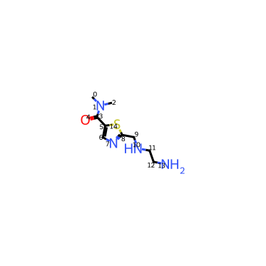 CN(C)C(=O)c1cnc(CNCCN)s1